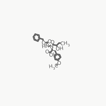 CCC(O)C(=O)N(NC(=O)OCc1ccccc1)[C@@H](Cc1ccc(OC)cc1)C(=O)O